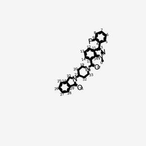 Cn1nc(-c2ccccc2F)c2cccc(C(=O)N3CCC(N4Cc5ccccc5C4=O)CC3)c21